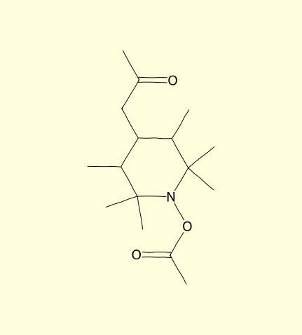 CC(=O)CC1C(C)C(C)(C)N(OC(C)=O)C(C)(C)C1C